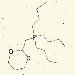 CCCC[P+](CCCC)(CCCC)CC1OCCCO1